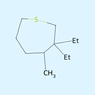 CCC1(CC)CSCCCC1C